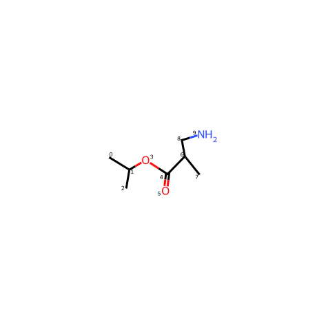 CC(C)OC(=O)C(C)CN